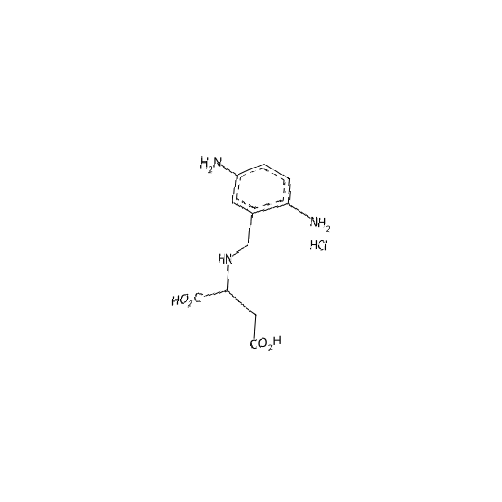 Cl.Nc1ccc(N)c(CNC(CC(=O)O)C(=O)O)c1